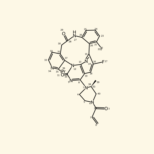 C=CC(=O)N1CCN(c2nc(=O)n3c4nc(c(F)cc24)-c2c(F)cccc2NC(=O)Cc2ccnc(C(C)C)c2-3)[C@@H](C)C1